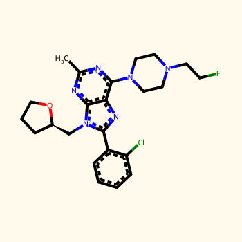 Cc1nc(N2CCN(CCF)CC2)c2nc(-c3ccccc3Cl)n(C[C@H]3CCCO3)c2n1